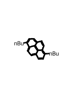 CCCCc1ccc2ccc3c(CCCC)ccc4ccc1c2c43